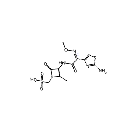 CO/N=C(\C(=O)NC1C(=O)N(CS(=O)(=O)O)C1C)c1csc(N)n1